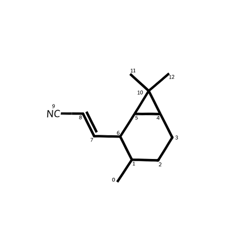 CC1CCC2C(C1C=CC#N)C2(C)C